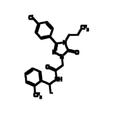 [CH2]C(NC(=O)Cn1nc(-c2ccc(Cl)cc2)n(CCC(F)(F)F)c1=O)c1ccccc1C(F)(F)F